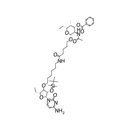 CC[C@H]1O[C@@H](n2ccc(N)nc2=O)[C@@H](O[Si](C)(C)C(C)(C)C)C1OCCCCCCNC(=O)CCCCO[C@@H]1O[C@H](CC)[C@H](C)[C@H](OC(=O)c2ccccc2)[C@H]1NC(C)=O